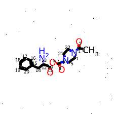 CC(=O)N1CCN(C(=O)OC(=O)[C@@H](N)Cc2ccccc2)CC1